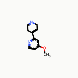 COc1ccnc(C2=CCN=CC2)c1